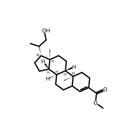 COC(=O)C1=CC2CC[C@H]3[C@@H]4CC[C@H](C(C)CO)[C@@]4(C)CC[C@@H]3[C@@]2(C)CC1